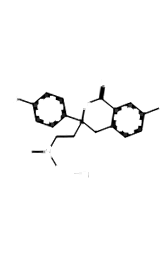 Cc1ccc2c(c1)C(=O)OC(CCN(C)C)(c1ccc(Cl)cc1)C2.Cl